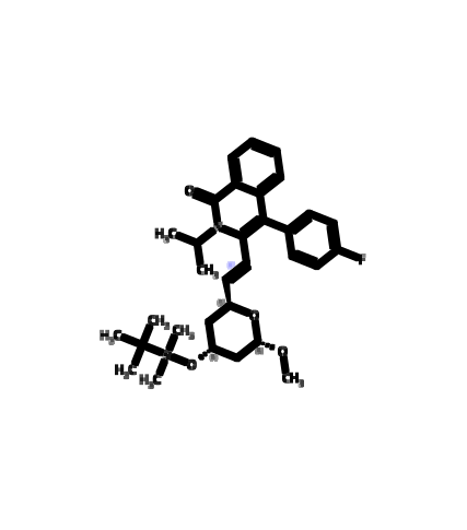 CO[C@@H]1C[C@H](O[Si](C)(C)C(C)(C)C)C[C@@H](/C=C/c2c(-c3ccc(F)cc3)c3ccccc3c(=O)n2C(C)C)O1